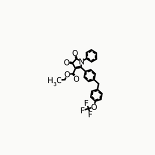 CCOC(=O)C1=C(c2ccc(Cc3ccc(OC(F)(F)F)cc3)cc2)N(c2ccccc2)C(=O)C1=O